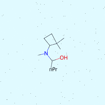 CCCC(O)N(C)C1CCC1(C)C